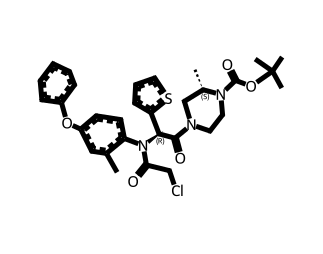 Cc1cc(Oc2ccccc2)ccc1N(C(=O)CCl)[C@H](C(=O)N1CCN(C(=O)OC(C)(C)C)[C@@H](C)C1)c1cccs1